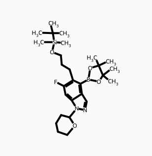 CC1(C)OB(c2c(CCCO[Si](C)(C)C(C)(C)C)c(F)cc3c2cnn3C2CCCCO2)OC1(C)C